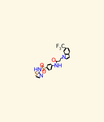 O=C(CCn1ccc2ccc(C(F)(F)F)cc21)Nc1ccc(S(=O)(=O)Nc2nccs2)cc1